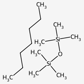 CCCCCCC.C[Si](C)(C)O[Si](C)(C)C